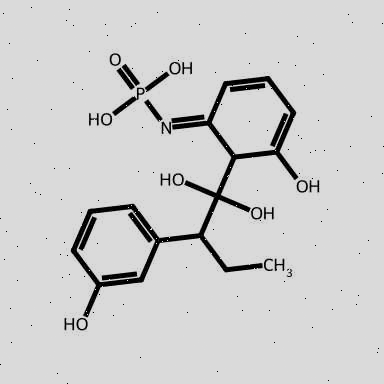 CCC(c1cccc(O)c1)C(O)(O)C1C(O)=CC=C/C1=N\P(=O)(O)O